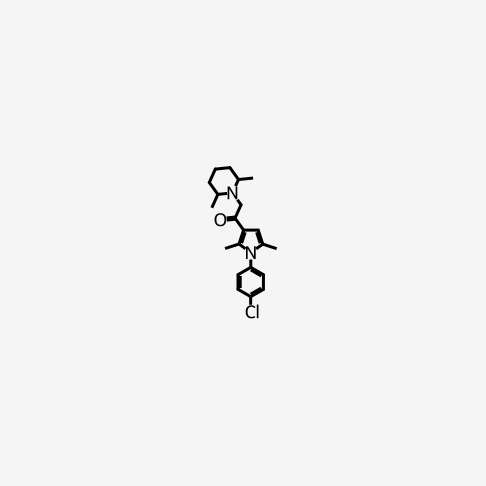 Cc1cc(C(=O)CN2C(C)CCCC2C)c(C)n1-c1ccc(Cl)cc1